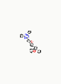 c1ccc(-c2nc(-c3ccccc3)nc(-c3ccc4c(c3)oc3cc(-c5ccc(-c6ccccc6)c6oc7ccccc7c56)ccc34)n2)cc1